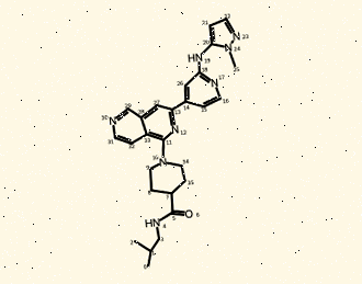 CC(C)CNC(=O)C1CCN(c2nc(-c3ccnc(Nc4ccnn4C)c3)cc3cnccc23)CC1